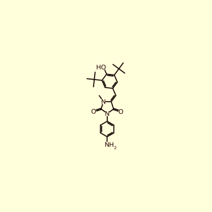 CN1C(=O)N(c2ccc(N)cc2)C(=O)/C1=C/c1cc(C(C)(C)C)c(O)c(C(C)(C)C)c1